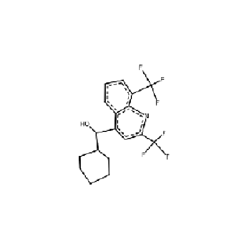 OC(c1cc(C(F)(F)F)nc2c(C(F)(F)F)cccc12)C1CCCCC1